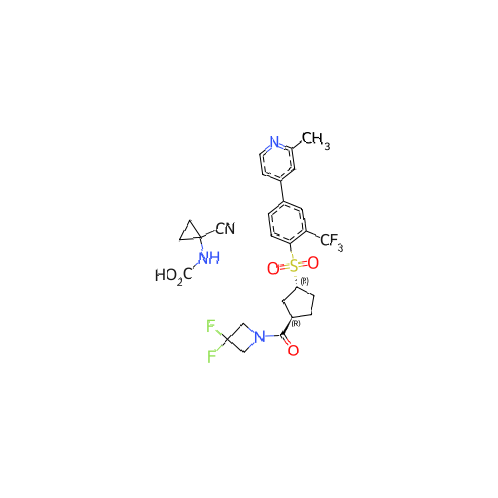 Cc1cc(-c2ccc(S(=O)(=O)[C@@H]3CC[C@@H](C(=O)N4CC(F)(F)C4)C3)c(C(F)(F)F)c2)ccn1.N#CC1(NC(=O)O)CC1